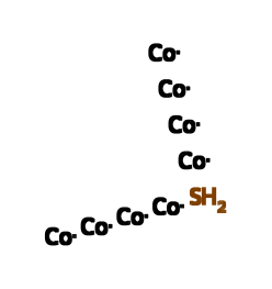 S.[Co].[Co].[Co].[Co].[Co].[Co].[Co].[Co]